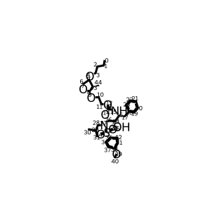 CCCCO[C@H]1CO[C@H](OCCOC(=O)N[C@@H](Cc2ccccc2)[C@H](O)CN(CC(C)C)S(=O)(=O)c2ccc(OC)cc2)[C@@H]1C